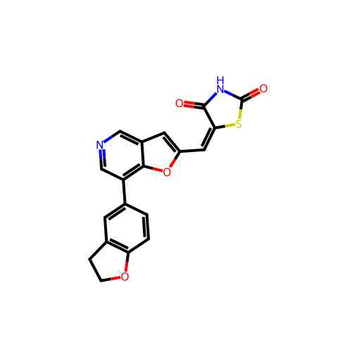 O=C1NC(=O)/C(=C\c2cc3cncc(-c4ccc5c(c4)CCO5)c3o2)S1